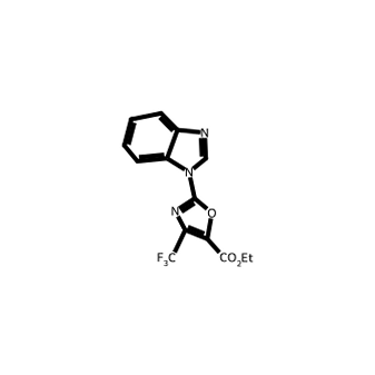 CCOC(=O)c1oc(-n2cnc3ccccc32)nc1C(F)(F)F